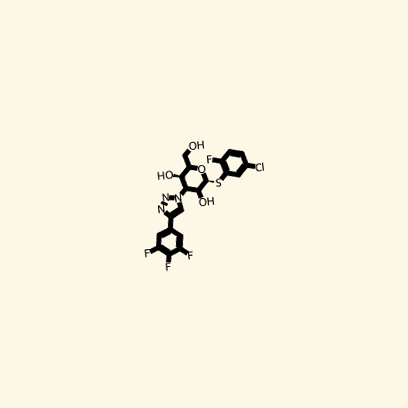 OCC1O[C@H](Sc2cc(Cl)ccc2F)C(O)C(n2cc(-c3cc(F)c(F)c(F)c3)nn2)[C@H]1O